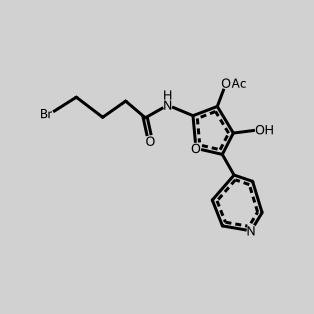 CC(=O)Oc1c(NC(=O)CCCBr)oc(-c2ccncc2)c1O